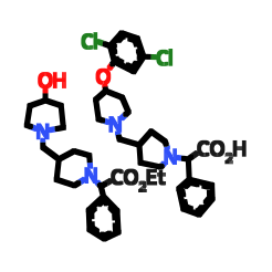 CCOC(=O)C(c1ccccc1)N1CCC(CN2CCC(O)CC2)CC1.O=C(O)C(c1ccccc1)N1CCC(CN2CCC(Oc3cc(Cl)ccc3Cl)CC2)CC1